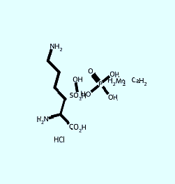 Cl.NCCCCC(N)C(=O)O.O=P(O)(O)O.O=S(=O)(O)O.[CaH2].[MgH2]